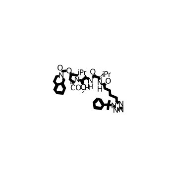 CC(C)[C@H](NC(=O)CCCCc1nnnn1C(C)(C)c1ccccc1)C(=O)N[C@H](C(=O)N1C[C@H](OC(=O)N2CCc3ccccc3C2)C[C@H]1C(=O)O)C(C)C